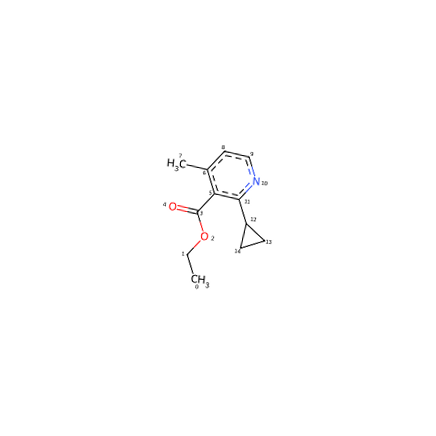 CCOC(=O)c1c(C)ccnc1C1CC1